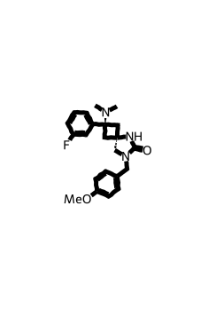 COc1ccc(CN2C[C@]3(C[C@@](c4cccc(F)c4)(N(C)C)C3)NC2=O)cc1